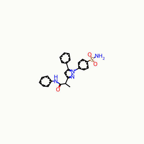 CC(C(=O)Nc1ccccc1)c1cc(-c2ccccc2)n(-c2ccc(S(N)(=O)=O)cc2)n1